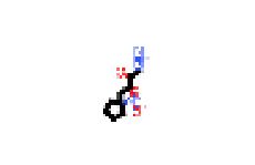 [N-]=[N+]=CC(=O)CCC1([N+](=O)[O-])CCCC1